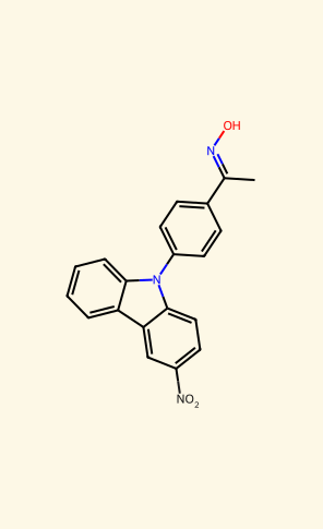 C/C(=N\O)c1ccc(-n2c3ccccc3c3cc([N+](=O)[O-])ccc32)cc1